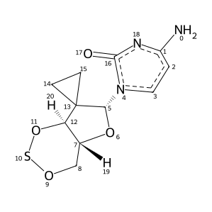 Nc1ccn([C@@H]2O[C@@H]3COSO[C@H]3C23CC3)c(=O)n1